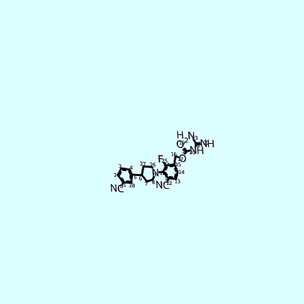 N#Cc1cccc(C2CCN(c3c(C#N)ccc(COC(=O)NC(=N)N)c3F)CC2)c1